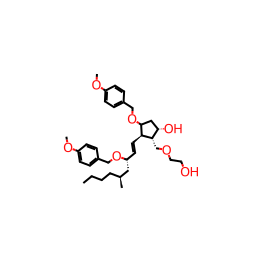 CCCC[C@H](C)C[C@@H](/C=C/[C@H]1C(OCc2ccc(OC)cc2)C[C@H](O)[C@@H]1COCCO)OCc1ccc(OC)cc1